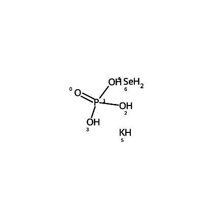 O=P(O)(O)O.[KH].[SeH2]